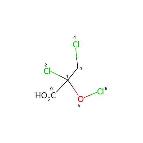 O=C(O)C(Cl)(CCl)OCl